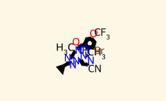 CC1N=C(C#N)C=C(n2nc(C3CC3)nc2[C@H](C)NC(=O)c2cc(Br)cc(OC(F)(F)F)c2)N1